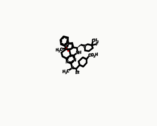 CC[C@H](C1CCC(C(=O)O)CC1)N(C)c1nc2c(c(N[C@@H](CN3CCCC(C)(F)C3)c3cnn(C)c3)n1)C[C@H](c1ccccc1)CC2